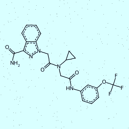 NC(=O)c1nn(CC(=O)N(CC(=O)Nc2cccc(OC(F)(F)F)c2)C2CC2)c2ccccc12